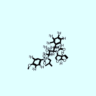 [2H]O[C@]([2H])(C([2H])([2H])N(CC(C)C)S(=O)(=O)c1cc([2H])c(OC)c([2H])c1[2H])[C@@]([2H])(N(C(=O)O)C1CO[C@@H]2OC=C[C@@H]12)C([2H])([2H])c1c([2H])c([2H])c([2H])c([2H])c1[2H]